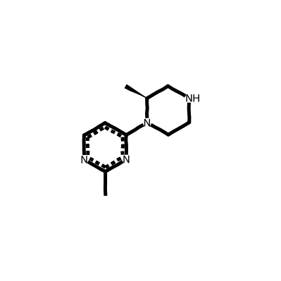 Cc1nccc(N2CCNC[C@@H]2C)n1